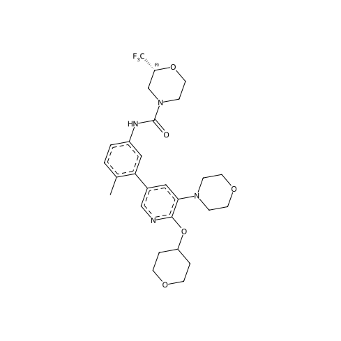 Cc1ccc(NC(=O)N2CCO[C@@H](C(F)(F)F)C2)cc1-c1cnc(OC2CCOCC2)c(N2CCOCC2)c1